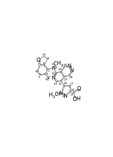 CN(c1c(F)ccc2c1CCO2)c1ncc(-c2cc(C(=O)O)nn2C)c2cnncc12